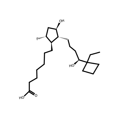 CCC1([C@@H](O)CCC[C@@H]2[C@@H](CCCCCCC(=O)O)[C@H](F)C[C@H]2O)CCC1